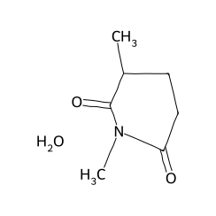 CC1CCC(=O)N(C)C1=O.O